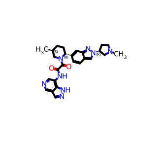 C[C@H]1CC[C@H](c2ccc3cn([C@@H]4CCN(C)C4)nc3c2)N(C(=O)C(=O)Nc2cncc3cn[nH]c23)C1